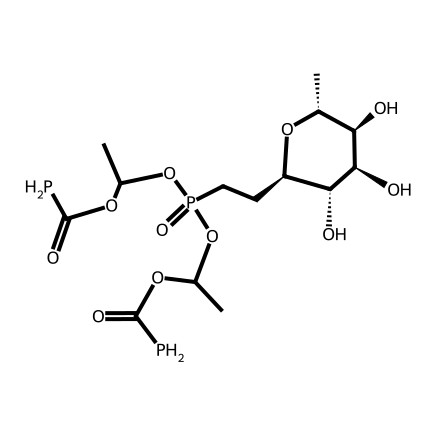 CC(OC(=O)P)OP(=O)(CC[C@H]1O[C@H](C)[C@@H](O)[C@@H](O)[C@@H]1O)OC(C)OC(=O)P